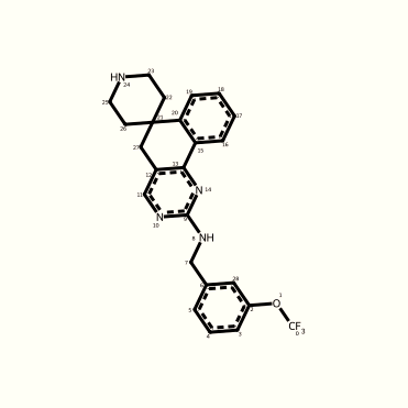 FC(F)(F)Oc1cccc(CNc2ncc3c(n2)-c2ccccc2C2(CCNCC2)C3)c1